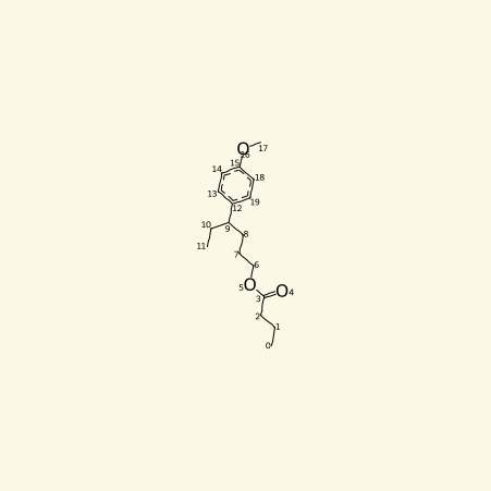 CCCC(=O)OCCCC(CC)c1ccc(OC)cc1